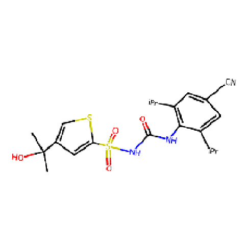 CC(C)c1cc(C#N)cc(C(C)C)c1NC(=O)NS(=O)(=O)c1cc(C(C)(C)O)cs1